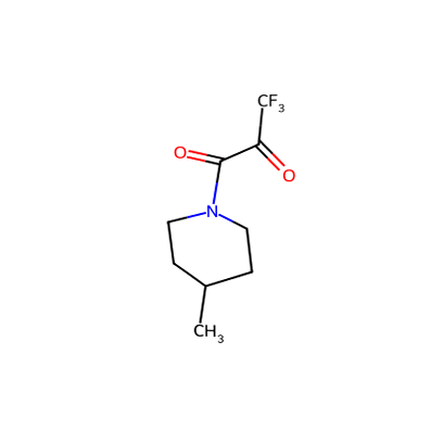 CC1CCN(C(=O)C(=O)C(F)(F)F)CC1